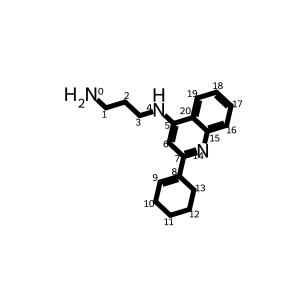 NCCCNc1cc(C2=CCCCC2)nc2ccccc12